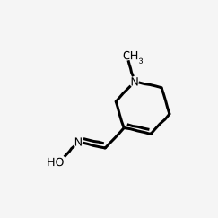 CN1CCC=C(/C=N/O)C1